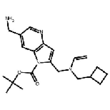 C=CN(Cc1cc2ncc(CN)cc2n1C(=O)OC(C)(C)C)CC1CCC1